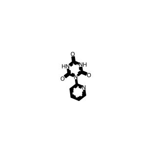 O=c1[nH]c(=O)n(-c2ccccn2)c(=O)[nH]1